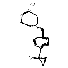 O=C(O)[C@@H]1CN(Cc2ccc(C3(C(F)(F)F)CC3)cc2)CCN1